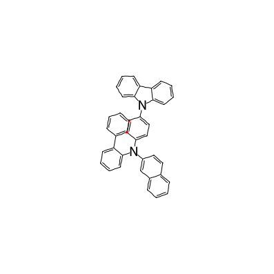 c1ccc(-c2ccccc2N(c2ccc(-n3c4ccccc4c4ccccc43)cc2)c2ccc3ccccc3c2)cc1